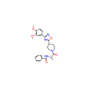 COc1ccc(-c2noc(C3CCN(C(=O)C(C)NC(=O)c4ccccc4)CC3)n2)cc1OC